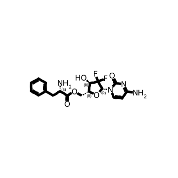 Nc1ccn([C@@H]2O[C@H](COC(=O)[C@@H](N)Cc3ccccc3)[C@@H](O)C2(F)F)c(=O)n1